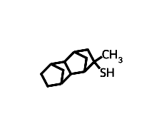 CC1(S)CC2CC1C1C3CCC(C3)C21